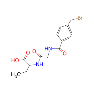 CCC(NC(=O)CNC(=O)c1ccc(CBr)cc1)C(=O)O